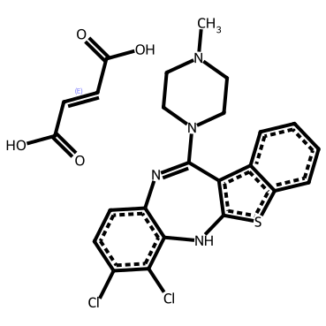 CN1CCN(C2=Nc3ccc(Cl)c(Cl)c3Nc3sc4ccccc4c32)CC1.O=C(O)/C=C/C(=O)O